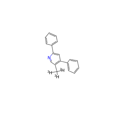 [2H]C([2H])([2H])c1cnc(-c2ccccc2)cc1-c1ccccc1